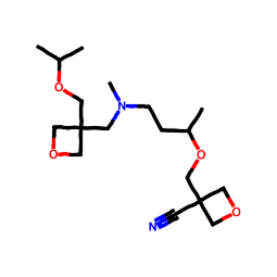 CC(C)OCC1(CN(C)CCC(C)OCC2(C#N)COC2)COC1